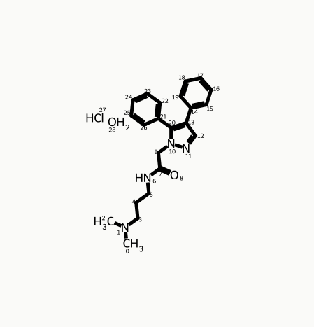 CN(C)CCCNC(=O)Cn1ncc(-c2ccccc2)c1-c1ccccc1.Cl.O